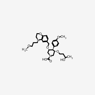 COCCCN1CCOc2ccc(CO[C@H]3CN(C(=O)O)C[C@@H](OCCC(C)O)[C@@H]3c3ccc(OC)cc3)cc21